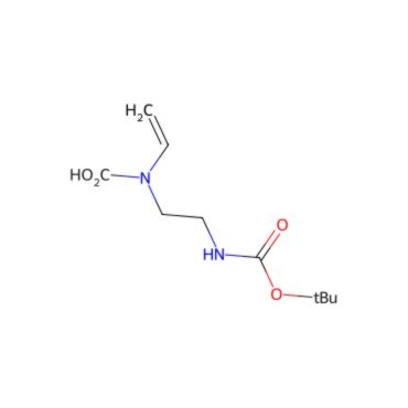 C=CN(CCNC(=O)OC(C)(C)C)C(=O)O